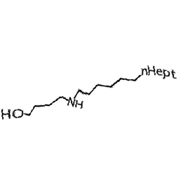 CCCCCCCCCCCCCNCCCCO